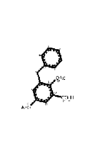 CC(=O)Oc1cc(Cc2ccccc2)c(OC(C)=O)c(C(=O)O)c1